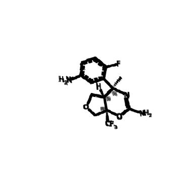 C[C@]1(c2cc(N)ccc2F)N=C(N)O[C@]2(C(F)(F)F)COC[C@H]12